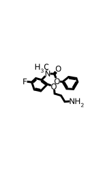 CN(C(=O)Oc1ccccc1)c1cc(F)ccc1OCCCN